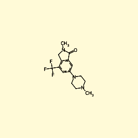 CN1CCN(c2cc3c(c(C(F)(F)F)c2)CN(C)C3=O)CC1